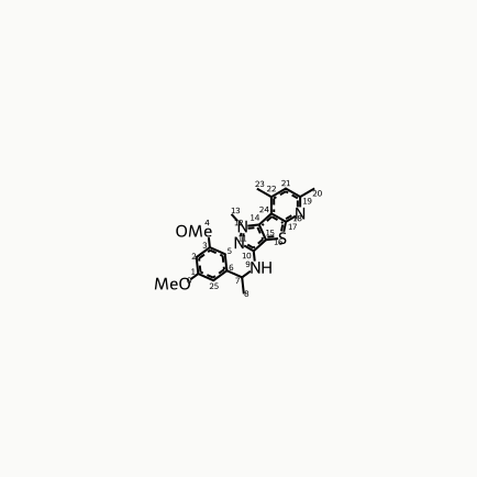 COc1cc(OC)cc(C(C)Nc2nn(C)c3c2sc2nc(C)cc(C)c23)c1